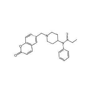 CCC(=O)N(c1ccccc1)C1CCN(Cc2ccc3oc(=O)ccc3c2)CC1